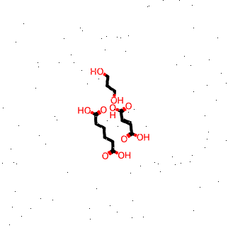 O=C(O)C=CC(=O)O.O=C(O)CCCCC(=O)O.OCCCO